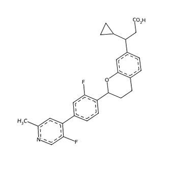 Cc1cc(-c2ccc(C3CCc4ccc(C(CC(=O)O)C5CC5)cc4O3)c(F)c2)c(F)cn1